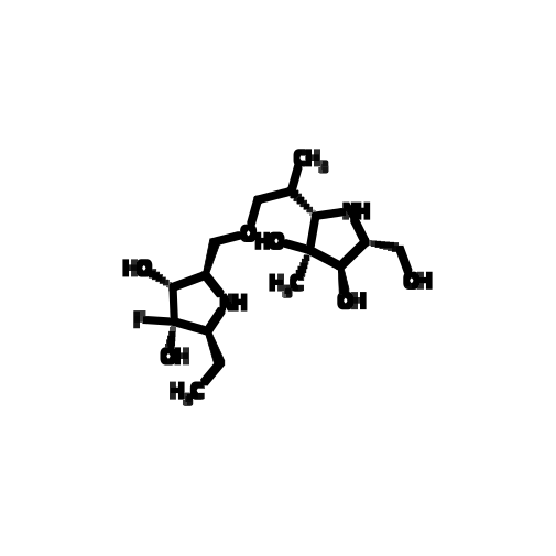 CC[C@@H]1N[C@H](COCC(C)[C@@H]2N[C@H](CO)[C@@H](O)[C@@]2(C)O)[C@@H](O)[C@]1(O)F